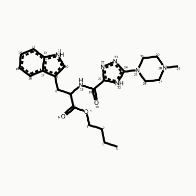 CCCCOC(=O)C(Cc1c[nH]c2ccccc12)NC(=O)c1nnc(N2CCN(C)CC2)[nH]1